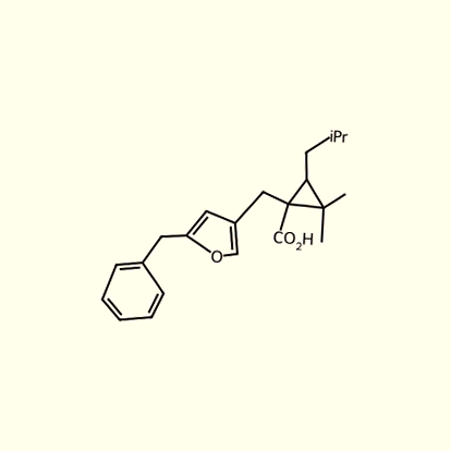 CC(C)CC1C(C)(C)C1(Cc1coc(Cc2ccccc2)c1)C(=O)O